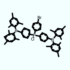 Cc1cc(C)c(B(c2ccc(P(=O)(c3ccc(Br)cc3)c3ccc(B(c4c(C)cc(C)cc4C)c4c(C)cc(C)cc4C)cc3)cc2)c2c(C)cc(C)cc2C)c(C)c1